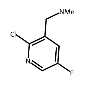 CNCc1cc(F)cnc1Cl